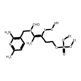 CCCSS/C(CCOP(=O)(OCC)OCC)=C(/C)N(C=O)Cc1ccc(C)nc1N